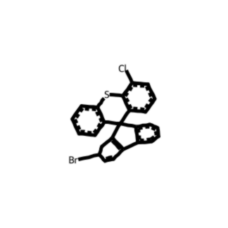 Clc1cccc2c1Sc1ccccc1C21C2=C(C=CC(Br)C2)c2ccccc21